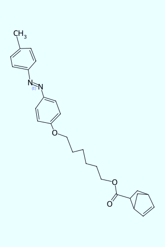 Cc1ccc(/N=N/c2ccc(OCCCCCCOC(=O)C3CC4C=CC3C4)cc2)cc1